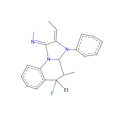 C/C=C1\C(=N/C)N2c3ccccc3C(F)(CC)C(C)C2N1c1ccccc1